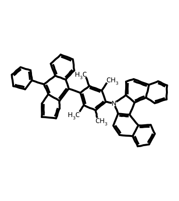 Cc1c(C)c(-n2c3ccc4ccccc4c3c3c4ccccc4ccc32)c(C)c(C)c1-c1c2ccccc2c(-c2ccccc2)c2ccccc12